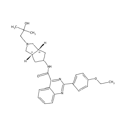 CCOc1ccc(-c2nc(C(=O)NC3C[C@@H]4CN(CC(C)(C)O)C[C@@H]4C3)c3ccccc3n2)cc1